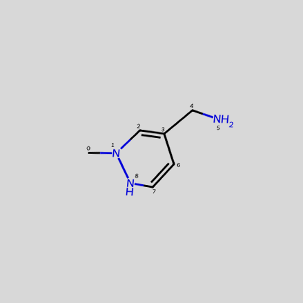 CN1C=C(CN)C=CN1